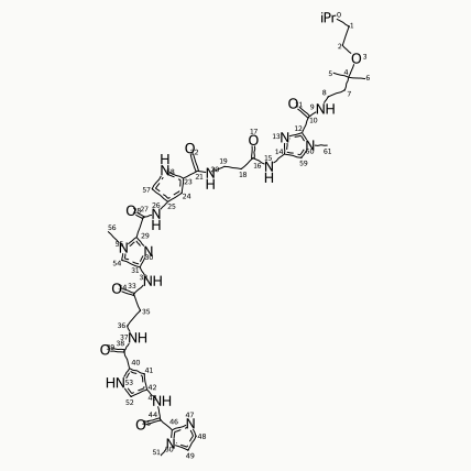 CC(C)CCOC(C)(C)CCNC(=O)c1nc(NC(=O)CCNC(=O)c2cc(NC(=O)c3nc(NC(=O)CCNC(=O)c4cc(NC(=O)c5nccn5C)c[nH]4)cn3C)c[nH]2)cn1C